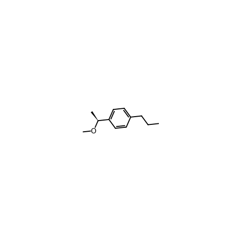 CCCc1ccc([C@H](C)OC)cc1